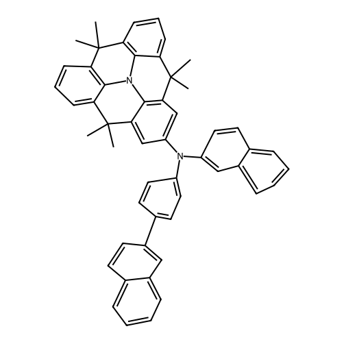 CC1(C)c2cccc3c2N2c4c1cccc4C(C)(C)c1cc(N(c4ccc(-c5ccc6ccccc6c5)cc4)c4ccc5ccccc5c4)cc(c12)C3(C)C